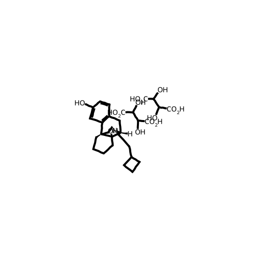 O=C(O)C(O)C(O)C(=O)O.O=C(O)C(O)C(O)C(=O)O.Oc1ccc2c(c1)[C@@]13CCCC[C@@]1(O)[C@@H](C2)N(CC1CCC1)CC3